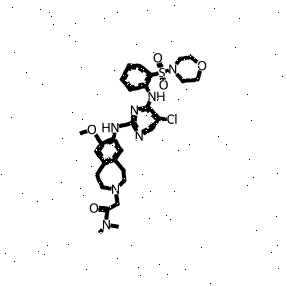 COc1cc2c(cc1Nc1ncc(Cl)c(Nc3ccccc3S(=O)(=O)N3CCOCC3)n1)CCN(CC(=O)N(C)C)CC2